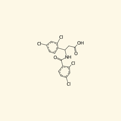 O=C(O)CC(NC(=O)c1ccc(Cl)cc1Cl)c1ccc(Cl)cc1Cl